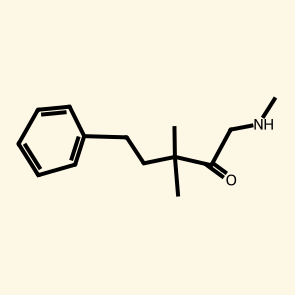 CNCC(=O)C(C)(C)CCc1ccccc1